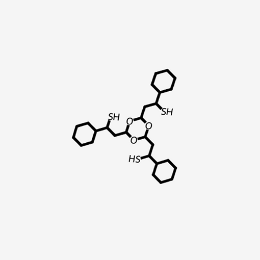 SC(CC1OC(CC(S)C2CCCCC2)OC(CC(S)C2CCCCC2)O1)C1CCCCC1